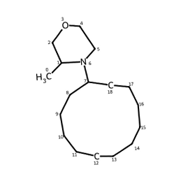 CC1COCCN1C1CCCCCCCCCCC1